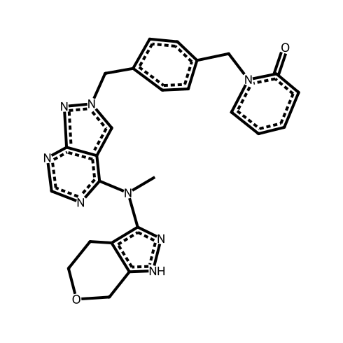 CN(c1n[nH]c2c1CCOC2)c1ncnc2nn(Cc3ccc(Cn4ccccc4=O)cc3)cc12